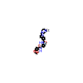 CCN1CCCN(Cc2ccc3cc(C(=O)Nc4cc(NC(=O)c5ccc6c(c5)OCCO6)ccc4F)ccc3n2)CC1